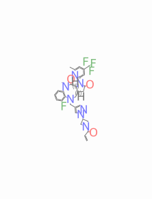 C=CC(=O)N1CC(n2cc(CN3C[C@H]4CC(=O)N(c5cc(C(F)(F)F)cc(C)n5)[C@@H]4C(=O)N(C)c4cccc(F)c43)cn2)C1